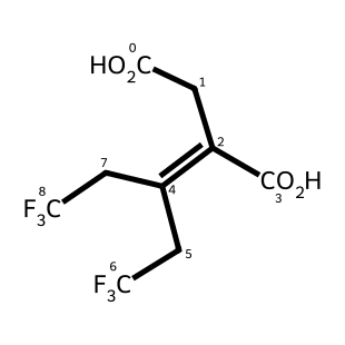 O=C(O)CC(C(=O)O)=C(CC(F)(F)F)CC(F)(F)F